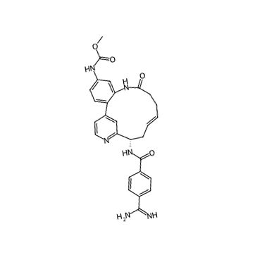 COC(=O)Nc1ccc2c(c1)NC(=O)CC/C=C/C[C@H](NC(=O)c1ccc(C(=N)N)cc1)c1cc-2ccn1